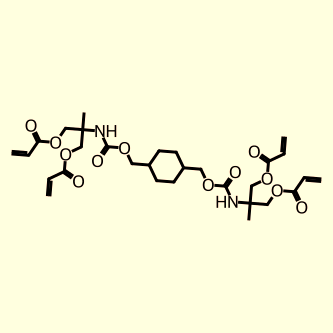 C=CC(=O)OCC(C)(COC(=O)C=C)NC(=O)OCC1CCC(COC(=O)NC(C)(COC(=O)C=C)COC(=O)C=C)CC1